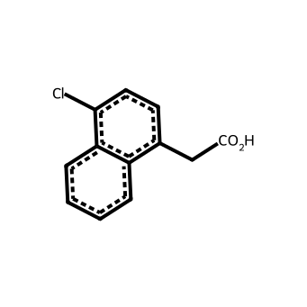 O=C(O)Cc1ccc(Cl)c2ccccc12